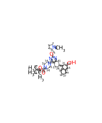 CN1CCCC1COc1nc2c(c(N3CCN(C(=O)OC(C)(C)C)CC3)n1)CCC(c1cc(O)cc3ccccc13)C2